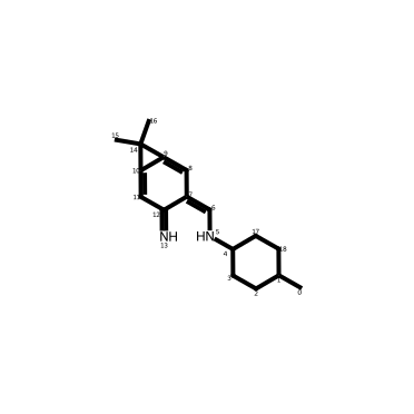 CC1CCC(N/C=C2/C=C3C(=CC2=N)C3(C)C)CC1